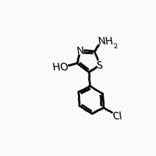 Nc1nc(O)c(-c2cccc(Cl)c2)s1